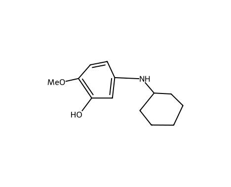 COc1ccc(NC2CCCCC2)cc1O